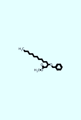 CCCCCCCCCCCC(CC(=O)OC)OCc1ccccc1